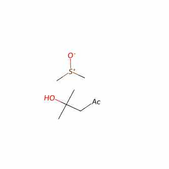 CC(=O)CC(C)(C)O.C[S+](C)[O-]